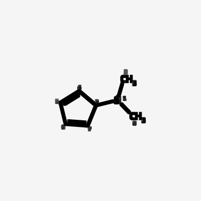 C[Si](C)C1C=CC=C1